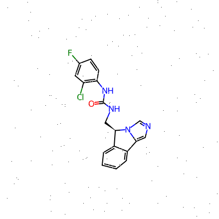 O=C(NC[C@@H]1c2ccccc2-c2cncn21)Nc1ccc(F)cc1Cl